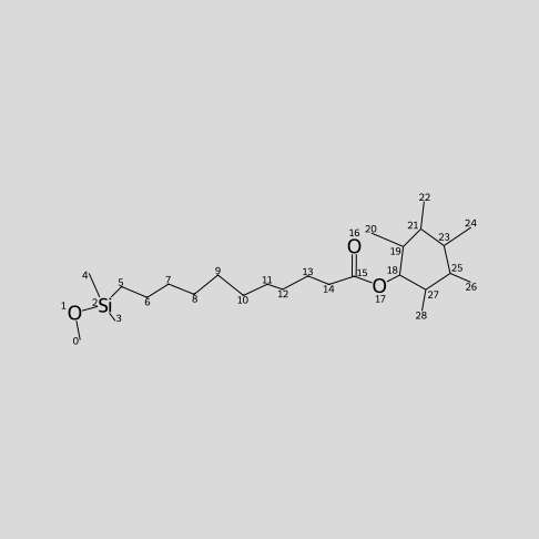 CO[Si](C)(C)CCCCCCCCCCC(=O)OC1C(C)C(C)C(C)C(C)C1C